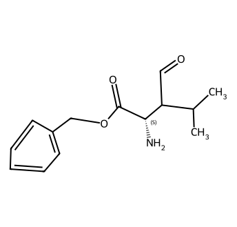 CC(C)C(C=O)[C@H](N)C(=O)OCc1ccccc1